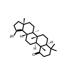 CC(C)C1=C2[C@H]3CC[C@@H]4[C@@]5(C)C(=O)CCC(C)(C)[C@@H]5CC[C@@]4(C)[C@]3(C)CC[C@@]2(C)CC1